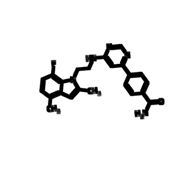 Cc1ccc(F)c2c1cc(C)n2CCNc1cc(-c2ccc(C(N)=O)cc2)ncn1